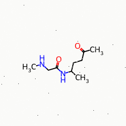 CNCC(=O)NC(C)CCC(C)=O